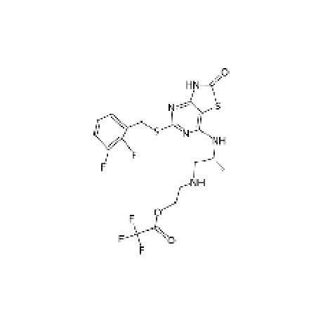 C[C@H](CNCCOC(=O)C(F)(F)F)Nc1nc(SCc2cccc(F)c2F)nc2[nH]c(=O)sc12